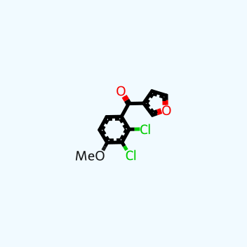 COc1ccc(C(=O)c2ccoc2)c(Cl)c1Cl